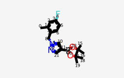 Cc1cc(F)ccc1Cn1cc(B2OC(C)(C)C(C)(C)O2)cn1